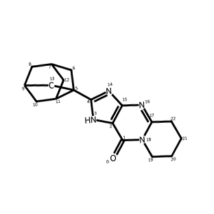 O=c1c2[nH]c(C34CC5CC(CC3C5)C4)nc2nc2n1CCCC2